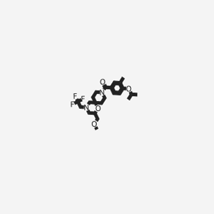 COCC1CN(CC(F)(F)F)CC2(CCN(C(=O)c3ccc(OC(C)C)c(C)c3)CC2)O1